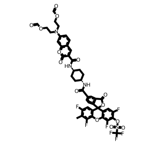 Cc1c(F)cc2c(c1F)Oc1c(cc(F)c(OS(=O)(=O)C(F)(F)F)c1F)C21OC(=O)c2cc(C(=O)N[C@H]3CC[C@H](NC(=O)c4cc5ccc(N(CCOC=O)CCOC=O)cc5oc4=O)CC3)ccc21